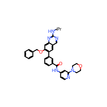 CC(C)Nc1ncc2cc(-c3cccc(C(=O)Nc4ccnc(N5CCOCC5)c4)c3)c(OCc3ccccc3)cc2n1